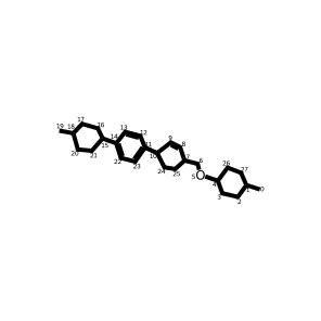 CC1CCC(OCC2C=CC(c3ccc(C4CCC(C)CC4)cc3)CC2)CC1